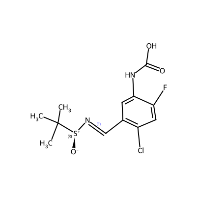 CC(C)(C)[S@+]([O-])/N=C/c1cc(NC(=O)O)c(F)cc1Cl